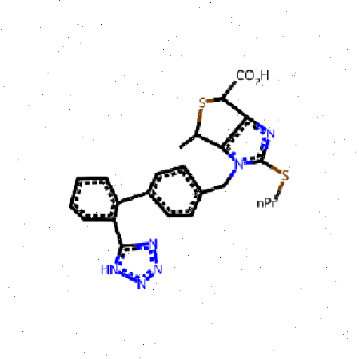 CCCSc1nc2c(n1Cc1ccc(-c3ccccc3-c3nnn[nH]3)cc1)C(C)SC2C(=O)O